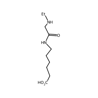 CCNCC(=O)NCCCCCC(=O)O